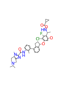 COc1cc(OC2CCc3c(-c4cccc(NC(=O)c5nc6c(n5C)CCN(C(C)C)C6)c4C)cccc32)c(Cl)c(F)c1C(C)NOC(=O)C1CC1